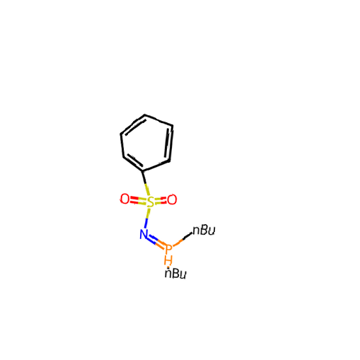 CCCC[PH](CCCC)=NS(=O)(=O)c1ccccc1